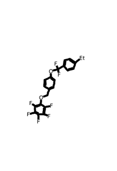 CCc1ccc(C(F)(F)Oc2ccc(COc3c(F)c(F)c(F)c(F)c3F)cc2)cc1